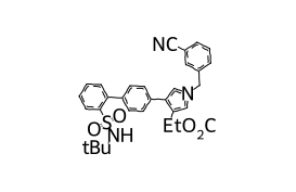 CCOC(=O)c1cn(Cc2cccc(C#N)c2)cc1-c1ccc(-c2ccccc2S(=O)(=O)NC(C)(C)C)cc1